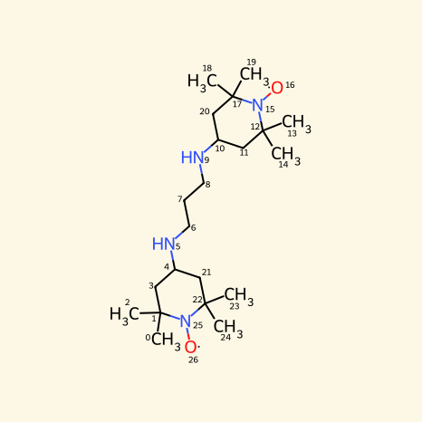 CC1(C)CC(NCCCNC2CC(C)(C)N([O])C(C)(C)C2)CC(C)(C)N1[O]